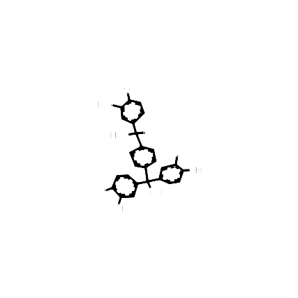 Cc1ccc(C(C)(c2ccc(C(C)(C)c3ccc(O)c(O)c3)cc2)c2ccc(O)c(O)c2)cc1O